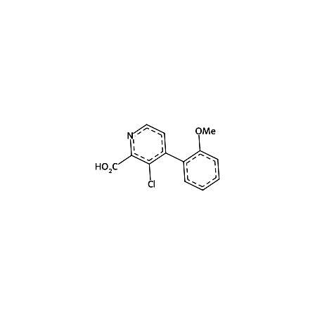 COc1ccccc1-c1ccnc(C(=O)O)c1Cl